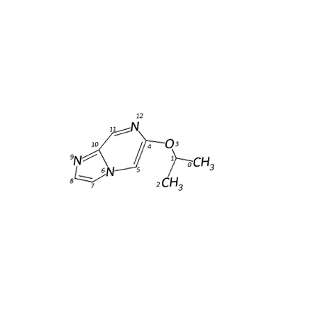 CC(C)Oc1cn2ccnc2cn1